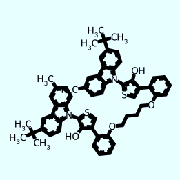 Cc1ccc2c(c1)c1cc(C(C)(C)C)ccc1n2-c1scc(-c2ccccc2OCCCCOc2ccccc2-c2csc(-n3c4ccc(C)cc4c4cc(C(C)(C)C)ccc43)c2O)c1O